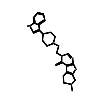 CN1CCc2c(sc3ncn(CCN4CCC(c5c[nH]c6ccccc56)CC4)c(=O)c23)C1